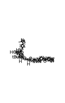 Cc1ncsc1-c1ccc(CNC(=O)[C@@H]2C[C@@H](O)CN2C(=O)[C@@H](NC(=O)COCCNC(=O)CC2CCN(Cc3nc4cc(NC(=O)c5ccc6c(cnn6C)c5)ccc4[nH]3)C2)C(C)(C)C)cc1